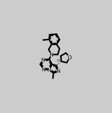 Cc1cccc2c1CN(c1ncnn3c(C)nc([C@@H]4CCOC4)c13)CC2